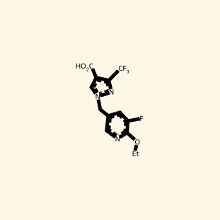 CCOc1ncc(Cn2cc(C(=O)O)c(C(F)(F)F)n2)cc1F